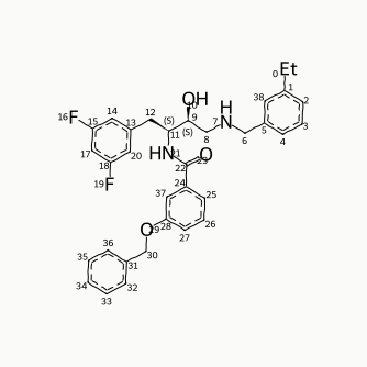 CCc1cccc(CNC[C@H](O)[C@H](Cc2cc(F)cc(F)c2)NC(=O)c2cccc(OCc3ccccc3)c2)c1